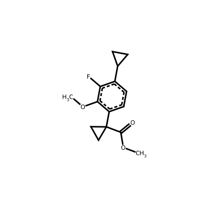 COC(=O)C1(c2ccc(C3CC3)c(F)c2OC)CC1